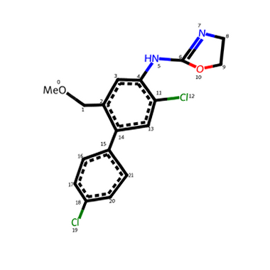 COCc1cc(NC2=NCCO2)c(Cl)cc1-c1ccc(Cl)cc1